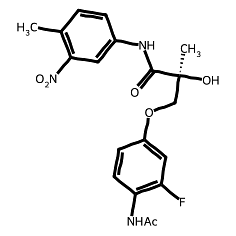 CC(=O)Nc1ccc(OC[C@](C)(O)C(=O)Nc2ccc(C)c([N+](=O)[O-])c2)cc1F